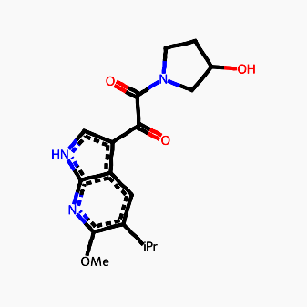 COc1nc2[nH]cc(C(=O)C(=O)N3CCC(O)C3)c2cc1C(C)C